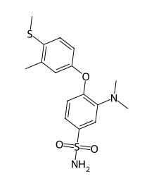 CSc1ccc(Oc2ccc(S(N)(=O)=O)cc2N(C)C)cc1C